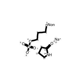 CCCCCCCCCCCCOS(=O)(=O)[O-].O=C1CCCN1.[Na+]